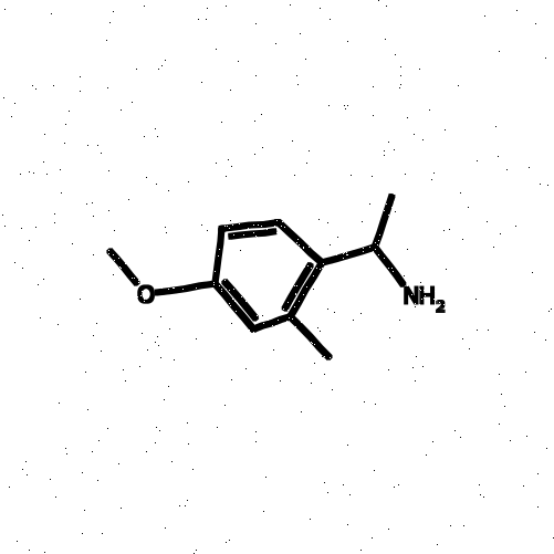 COc1ccc(C(C)N)c(C)c1